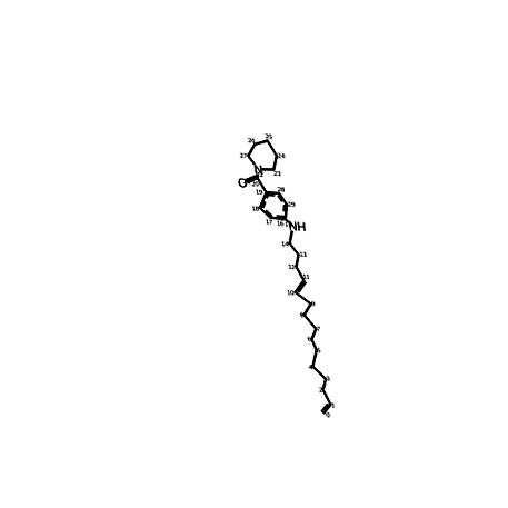 C=CCCCCCCCCC=CCCCNc1ccc(C(=O)N2CCCCC2)cc1